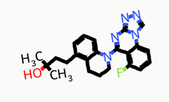 CC(C)(O)CCc1cccc2c1CCCN2c1nc2nncn2c2cccc(F)c12